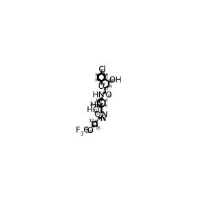 O=C(NC12CCC(c3nnc([C@H]4C[C@@H](OC(F)(F)F)C4)o3)(CC1)[C@@H](O)C2)C1CC(O)c2cc(Cl)ccc2O1